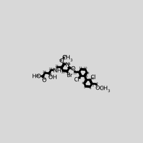 COCc1cccc(-c2cccc(COc3nc(OC)c(CNC[C@@H](O)CC(=O)O)cc3Br)c2Cl)c1Cl